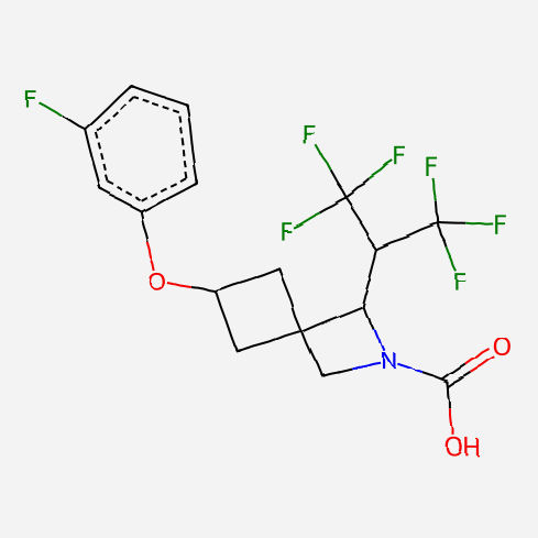 O=C(O)N1CC2(CC(Oc3cccc(F)c3)C2)C1C(C(F)(F)F)C(F)(F)F